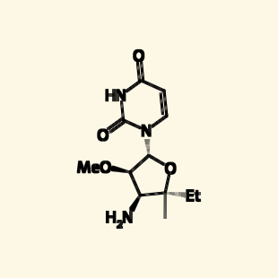 CC[C@@]1(C)O[C@@H](n2ccc(=O)[nH]c2=O)[C@H](OC)[C@@H]1N